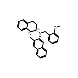 COc1ccccc1CN[C@H]1CCc2ccccc2[C@H]1Cc1ccc2ccccc2c1